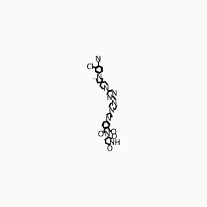 C[C@H]1CC2(CCN(c3cnc(CN4CCN(C5CN(c6ccc7c(c6)C(=O)N(C6CCC(=O)NC6=O)C7=O)C5)CC4)nc3)CC2)CN1c1ccc(C#N)c(Cl)c1